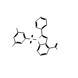 O=C(O)c1cccc2c1cc(-c1ccccc1)n2S(=O)(=O)c1cc(Cl)cc(Br)c1